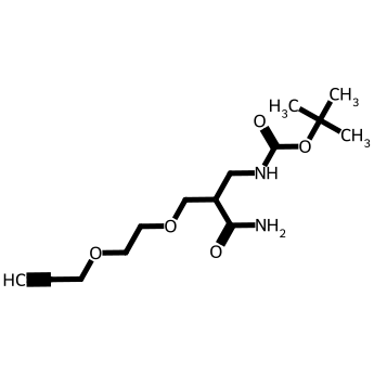 C#CCOCCOCC(CNC(=O)OC(C)(C)C)C(N)=O